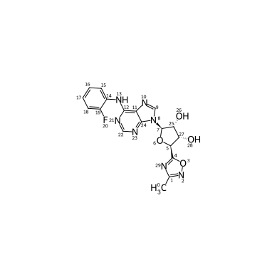 Cc1noc([C@H]2O[C@@H](n3cnc4c(Nc5ccccc5F)ncnc43)[C@H](O)[C@@H]2O)n1